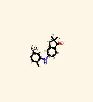 Cc1ccc([N+](=O)[O-])cc1Nc1ccc2c(c1)CC(C)(C)C2=O